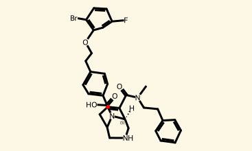 CN(CCc1ccccc1)C(=O)C1=C(c2ccc(CCOc3cc(F)ccc3Br)cc2)CC2CNC[C@H]1N2C(=O)O